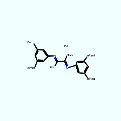 CCCCCCC(=N\c1cc(CCCCC)cc(CCCCC)c1)/C(CCCC)=N/c1cc(CCCCC)cc(CCCCC)c1.[Pd]